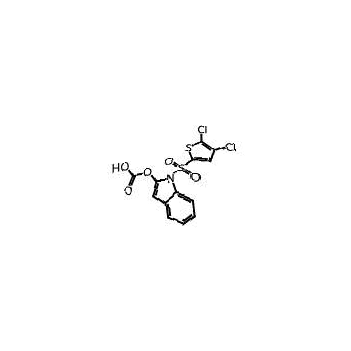 O=C(O)Oc1cc2ccccc2n1S(=O)(=O)c1cc(Cl)c(Cl)s1